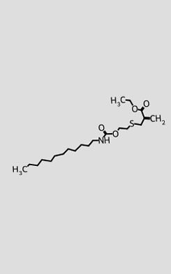 C=C(CSCCOC(=O)NCCCCCCCCCCCC)C(=O)OCC